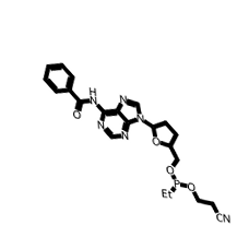 CCP(OCCC#N)OCC1CCC(n2cnc3c(NC(=O)c4ccccc4)ncnc32)O1